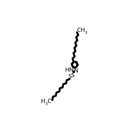 CCCCCCCCCCCCSSc1nc2ccc(CCCCCCCCCCCC)cc2[nH]1